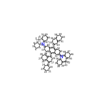 CC1(C)c2ccccc2N(c2ccc3c(-c4ccc(-c5ccccc5)c5ccccc45)c4cc(N5c6ccccc6C(C)(C)c6ccccc65)ccc4c(-c4ccc5ccccc5c4)c3c2)c2ccccc21